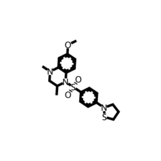 COc1ccc2c(c1)N(C)CC(C)N2S(=O)(=O)c1ccc(N2CCCS2)cc1